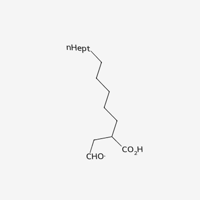 CCCCCCCCCCCCC(C[C]=O)C(=O)O